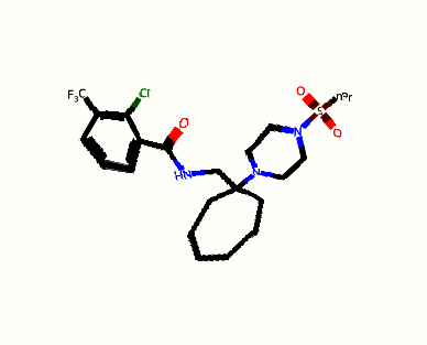 CCCS(=O)(=O)N1CCN(C2(CNC(=O)c3cccc(C(F)(F)F)c3Cl)CCCCCC2)CC1